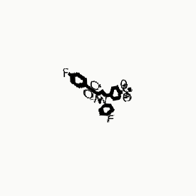 COC(OC)(c1ccc(F)cc1)c1cc(-c2ccc(S(C)(=O)=O)cc2)n(-c2ccc(F)cc2)n1